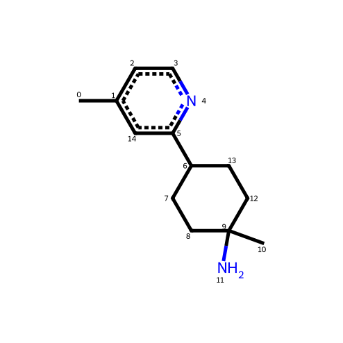 Cc1ccnc(C2CCC(C)(N)CC2)c1